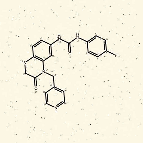 O=C(Nc1ccc(F)cc1)Nc1ccc2c(c1)N(Cc1ccncc1)C(=O)CS2